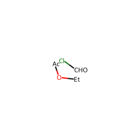 CCOC(C)=O.O=CCl